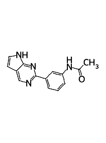 CC(=O)Nc1cccc(-c2ncc3cc[nH]c3n2)c1